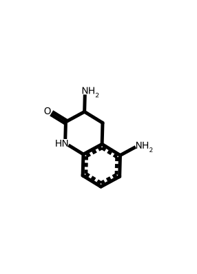 Nc1cccc2c1CC(N)C(=O)N2